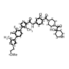 COCCn1cc(-c2ccc(-c3cnc(C(=O)Nc4ccc(C(=O)N5CCN(C(=O)C6(O)CCNCC6)CC5)c(Cl)c4)n3C)c(F)c2F)c(C)n1